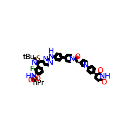 CCCS(=O)(=O)Nc1cccc(-c2nc(C(C)(C)C)sc2-c2ccnc(Nc3ccc(C4CCN(C(=O)C[C@@H]5CCN(c6ccc([C@@H]7CCC(=O)NC7=O)cc6)C5)CC4)cc3)n2)c1F